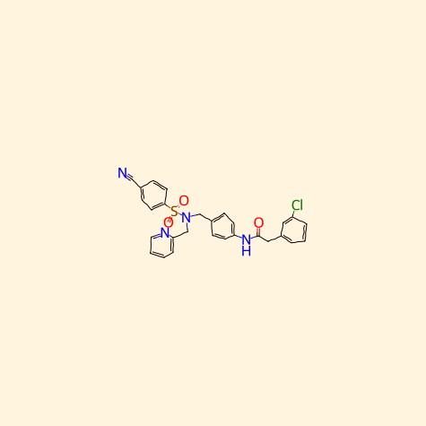 N#Cc1ccc(S(=O)(=O)N(Cc2ccc(NC(=O)Cc3cccc(Cl)c3)cc2)Cc2ccccn2)cc1